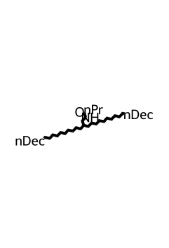 CCCCCCCCCCCCCCCCCCCCC(CCCCCCCCCCCCCCCCCCCC)CNC(=O)CCC